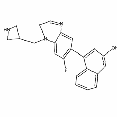 Oc1cc(-c2cc3c(cc2F)N(CC2CNC2)CC=N3)c2ccccc2c1